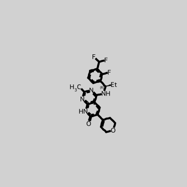 CC[C@@H](Nc1nc(C)nc2[nH]c(=O)c(C3=CCOCC3)cc12)c1cccc(C(F)F)c1F